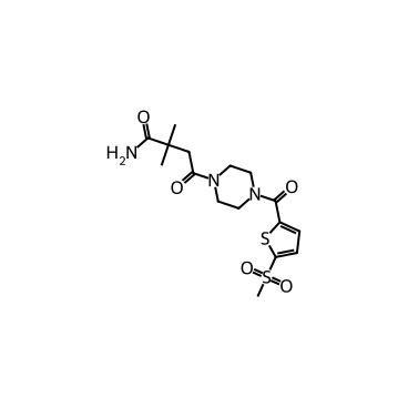 CC(C)(CC(=O)N1CCN(C(=O)c2ccc(S(C)(=O)=O)s2)CC1)C(N)=O